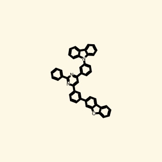 c1ccc(-c2nc(-c3cccc(-c4ccc5c(c4)oc4ccccc45)c3)cc(-c3cccc(-n4c5ccccc5c5ccccc54)c3)n2)cc1